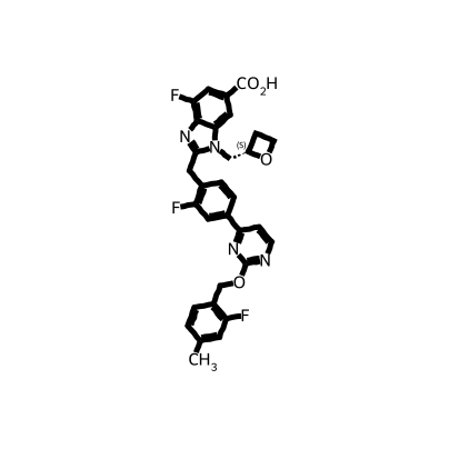 Cc1ccc(COc2nccc(-c3ccc(Cc4nc5c(F)cc(C(=O)O)cc5n4C[C@@H]4CCO4)c(F)c3)n2)c(F)c1